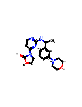 CC(Nc1nccc(N2CCOC2=O)n1)c1cccc(N2CCOCC2)c1